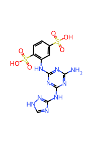 Nc1nc(Nc2nc[nH]n2)nc(Nc2cc(S(=O)(=O)O)ccc2S(=O)(=O)O)n1